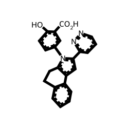 O=C(O)c1cc(-n2c(-c3cccnn3)cc3c2CCc2ccccc2-3)ccc1O